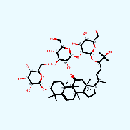 C[C@H](CC[C@@H](O[C@@H]1O[C@H](CO)[C@@H](O)[C@H](O)[C@H]1O[C@@H]1O[C@H](CO)[C@@H](O)[C@H](O)[C@H]1O)C(C)(C)O)[C@H]1CC[C@@]2(C)[C@@H]3CC=C4[C@@H](CC[C@H](O[C@@H]5O[C@H](CO)[C@@H](O)[C@H](O)[C@H]5O)C4(C)C)[C@]3(C)C(=O)C[C@]12C